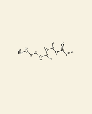 C=CC(=O)OC(C)OC(C)OCCOCC